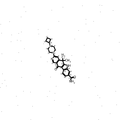 CC1(C)c2cc(N3CCN(C4CCC4)CC3)ncc2C(=O)c2c1[nH]c1cc(C(N)=O)ccc21